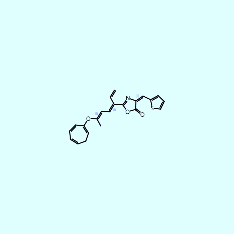 C=C/C(=C\C=C(/C)OC1=CCC=CC=C1)C1=N/C(=C/c2cccs2)C(=O)O1